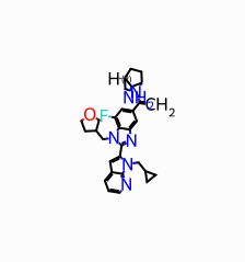 C=C(c1cc(F)c2c(c1)nc(-c1cc3cccnc3n1CC1CC1)n2CC1CCOC1)N1C[C@H]2CCC1C2N